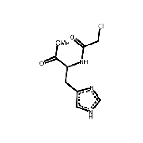 COC(=O)C(Cc1c[nH]cn1)NC(=O)CCl